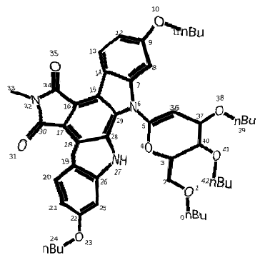 CCCCOCC1OC(n2c3cc(OCCCC)ccc3c3c4c(c5c6ccc(OCCCC)cc6[nH]c5c32)C(=O)N(C)C4=O)=CC(OCCCC)C1OCCCC